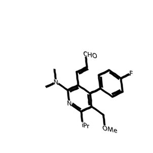 COCc1c(C(C)C)nc(N(C)C)c(C=CC=O)c1-c1ccc(F)cc1